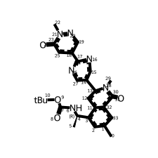 Cc1cc([C@@H](C)NC(=O)OC(C)(C)C)c2cc(-c3cnc(-c4cnn(C)c(=O)c4)nc3)n(C)c(=O)c2c1